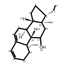 CC[C@H]1CC[C@H]2[C@@H]3CC=C4C=CCC[C@]4(C)[C@H]3C(O)C[C@]12C